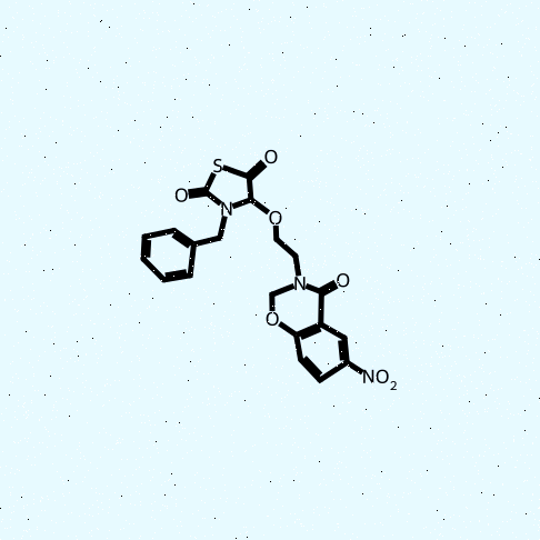 O=C1SC(=O)N(Cc2ccccc2)C1OCCN1COc2ccc([N+](=O)[O-])cc2C1=O